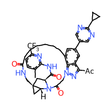 CC(=O)c1nn2c3c(cc(-c4cnc(C5CC5)nc4)cc13)CCCCCCC(=O)NC[C@@]13C[C@@H](C(=O)Nc4nc(C(F)(F)F)ccc4C)N(C(=O)C2)[C@@H]1C3